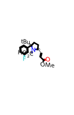 COC(=O)C=C[C@H]1CC[C@@](c2cccc(F)c2)(C(C)(C)C)N1C(=O)O